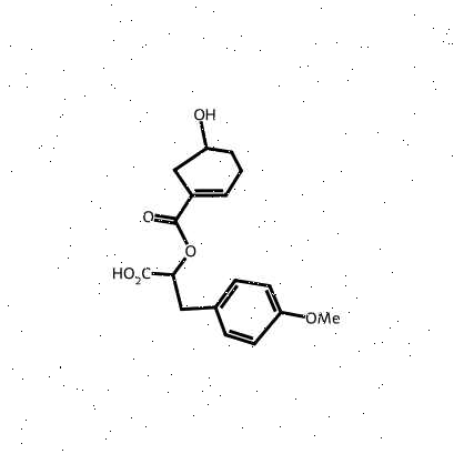 COc1ccc(CC(OC(=O)C2=CCCC(O)C2)C(=O)O)cc1